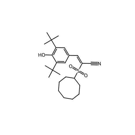 CC(C)(C)c1cc(/C=C(/C#N)S(=O)(=O)C2CCCCCCC2)cc(C(C)(C)C)c1O